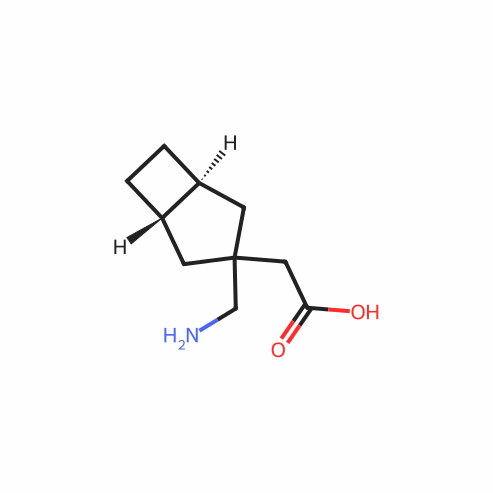 NCC1(CC(=O)O)C[C@@H]2CC[C@H]2C1